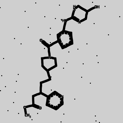 COC(=O)CC(CCC1CCN(C(=O)c2cccc(NC3=NCC(O)CN3)c2)CC1)c1cccnc1